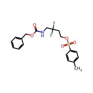 Cc1ccc(S(=O)(=O)OCCC(F)(F)CNC(=O)OCc2ccccc2)cc1